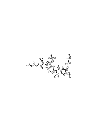 CCOC(=O)CCC(=O)N(CC[C@@H]1CC[C@@H](N(C(=O)c2ccc(OC)c(OCCCOC)c2)C(C)C)CN1C(=O)OC(C)(C)C)C1CC1